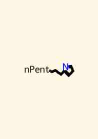 CCCCCCCCC1=CCC=N1